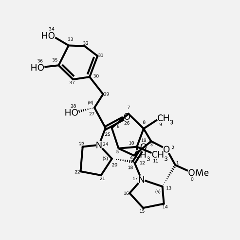 COC(OC1CC2CCC1(C)C2(C)C)[C@@H]1CCCN1C(=O)[C@@H]1CCCN1C(=O)[C@H](O)CC1=CCC(O)C(O)=C1